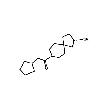 CC(C)(C)N1CCC2(CCC(C(=O)CN3CCCC3)CC2)C1